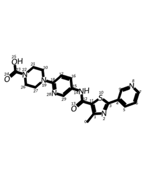 Cc1nc(-c2cccnc2)sc1C(=O)Nc1ccc(N2CCN(C(=O)O)CC2)nc1